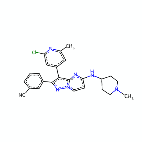 Cc1cc(-c2c(-c3cccc(C#N)c3)nn3ccc(NC4CCN(C)CC4)nc23)cc(Cl)n1